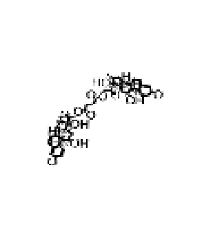 C[C@@H]1C[C@H]2[C@@H]3CCC4=CC(=O)C=C[C@]4(C)[C@@]3(F)[C@@H](O)C[C@]2(C)[C@@]1(O)C(=O)COC(=O)CCC(=O)OCC(=O)[C@]1(O)[C@@H](C)C[C@@H]2[C@H]3CCC4=CC(=O)C=C[C@@]4(C)[C@]3(F)[C@H](O)C[C@]21C